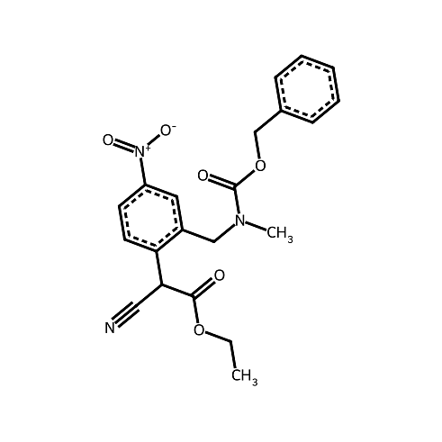 CCOC(=O)C(C#N)c1ccc([N+](=O)[O-])cc1CN(C)C(=O)OCc1ccccc1